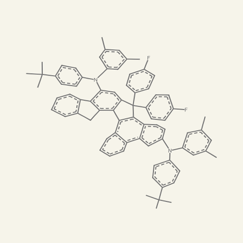 Cc1cc(C)cc(N(c2ccc(C(C)(C)C)cc2)c2ccc3c4c(c5ccccc5c3c2)-c2c(cc(N(c3ccc(C(C)(C)C)cc3)c3cc(C)cc(C)c3)c3c2Cc2ccccc2-3)C4(c2ccc(F)cc2)c2ccc(F)cc2)c1